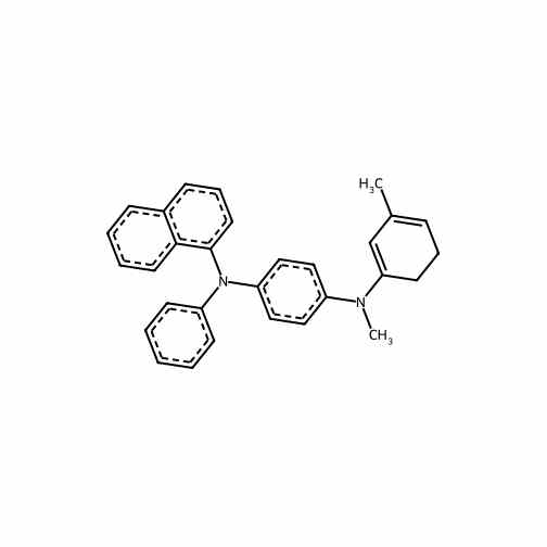 CC1=CCCC(N(C)c2ccc(N(c3ccccc3)c3cccc4ccccc34)cc2)=C1